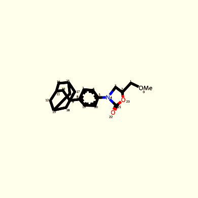 COCC1CN(c2ccc(C34CC5CC(CC(C5)C3)C4)cc2)C(=O)O1